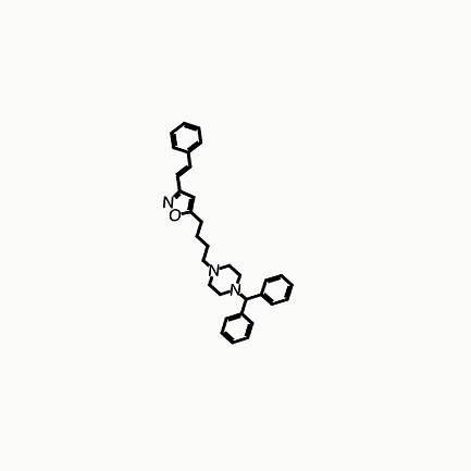 C(=Cc1cc(CCCCN2CCN(C(c3ccccc3)c3ccccc3)CC2)on1)c1ccccc1